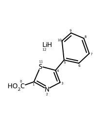 O=C(O)c1ncc(-c2ccccc2)s1.[LiH]